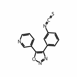 S=C=Nc1cccc(-c2nnoc2-c2cccnc2)c1